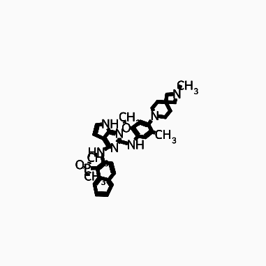 COc1cc(N2CCC3(CC2)CN(C)C3)c(C)cc1Nc1nc(Nc2ccc3ccccc3c2P(C)(C)=O)c2cc[nH]c2n1